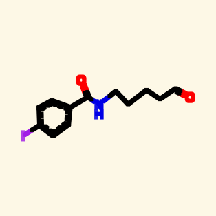 O=CCCCCNC(=O)c1ccc(I)cc1